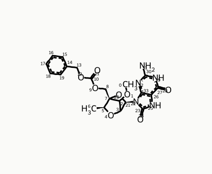 COC1C2O[C@@H](C)[C@]1(COC(=O)OCc1ccccc1)O[C@H]2n1c(=O)[nH]c2c(=O)[nH]c(N)nc21